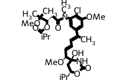 COc1cc(/C(C)=C/C=C/[C@@H](OC)[C@@]2(O)C[C@@H](C(C)C)OC(=O)N2)cc(N(C)C(=O)C[C@H](OC(=O)C(C)C)C(C)(C)OC)c1Cl